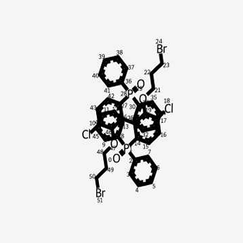 O=P(c1ccccc1)(c1ccccc1)c1ccc(Cl)c(OCCCBr)c1-c1c(P(=O)(c2ccccc2)c2ccccc2)ccc(Cl)c1OCCCBr